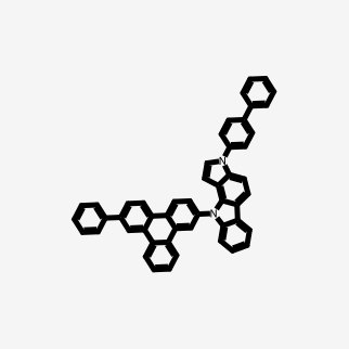 c1ccc(-c2ccc(-n3ccc4c3ccc3c5ccccc5n(-c5ccc6c7ccc(-c8ccccc8)cc7c7ccccc7c6c5)c34)cc2)cc1